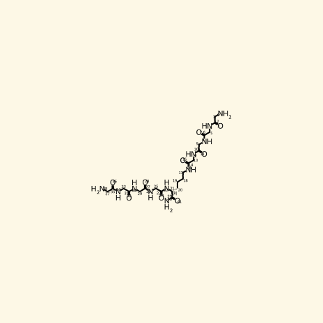 NCC(=O)NCC(=O)NCC(=O)NCC(=O)NCCCC[C@@H](NC(=O)CNC(=O)CNC(=O)CNC(=O)CN)C(N)=O